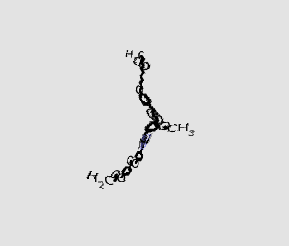 C=CC(=O)OCCCCCCOc1ccc(COOc2ccc(/C=N/N=C/c3ccc(OC(=O)c4ccc(OC(=O)C=C)cc4)cc3)cc2OCC)cc1